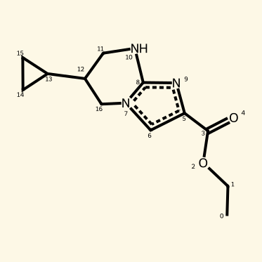 CCOC(=O)c1cn2c(n1)NCC(C1CC1)C2